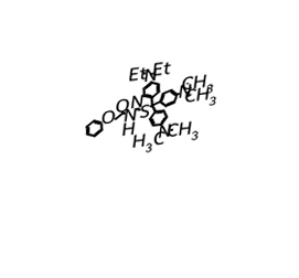 CCN(CC)c1ccc2c(c1)N=C(NC(=O)COc1ccccc1)SC2(c1ccc(N(C)C)cc1)c1ccc(N(C)C)cc1